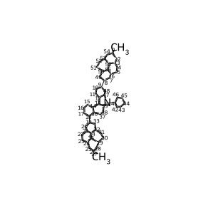 Cc1cc2ccc3cc(-c4ccc5c6c7cccc(-c8cc9ccc%10cc(C)cc%11ccc(c8)c9c%10%11)c7ccc6n(-c6ccccc6)c5c4)cc4ccc(c1)c2c34